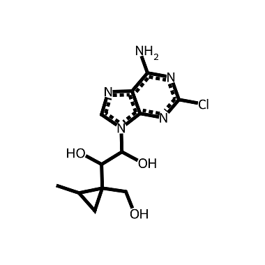 CC1CC1(CO)C(O)C(O)n1cnc2c(N)nc(Cl)nc21